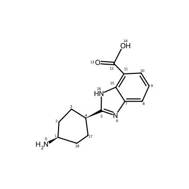 N[C@H]1CC[C@@H](c2nc3cccc(C(=O)O)c3[nH]2)CC1